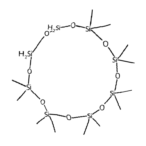 C[Si]1(C)O[SiH2]O[SiH2]O[Si](C)(C)O[Si](C)(C)O[Si](C)(C)O[Si](C)(C)O[Si](C)(C)O1